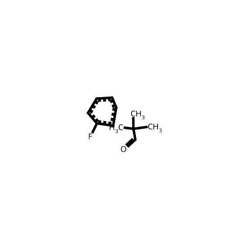 CC(C)(C)C=O.Fc1ccccc1